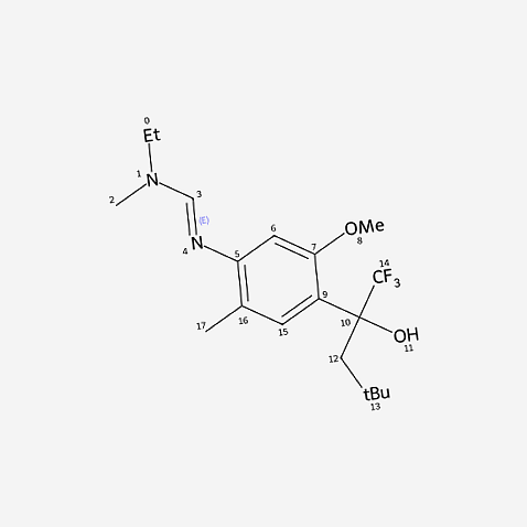 CCN(C)/C=N/c1cc(OC)c(C(O)(CC(C)(C)C)C(F)(F)F)cc1C